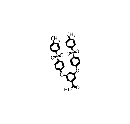 Cc1ccc(S(=O)(=O)c2ccc(Oc3cc(Oc4ccc(S(=O)(=O)c5ccc(C)cc5)cc4)cc(C(=O)O)c3)cc2)cc1